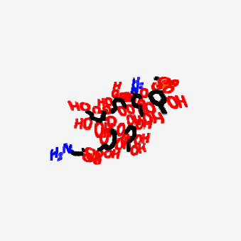 COP(=O)(OCCN)OCC1OC(OC2C(OCC3OC(OC4C(CO)OC(OC5C(O)C(C)C(O)C6OP(=O)(OC)OC56)C(N)C4O)C(O)C(O)C3O)OC(CO)C(O)C2O)C(OC2OC(CO)C(O)C(O)C2O)C(O)C1O